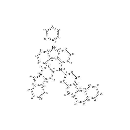 c1ccc(-n2c3ccccc3c3c(N(c4ccc5c(c4)sc4ccc6ccccc6c45)c4ccc5sc6ccccc6c5c4)cccc32)cc1